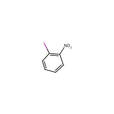 O=[N+]([O-])c1[c]cccc1I